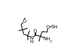 COCC(C)(C)CC(C)(C)NC(=O)C(C)(N)CCOS